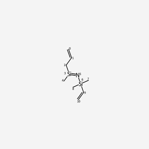 C=CC[Si](C)=N[Si](C)(C)C=C